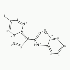 Cc1cnc2c(C(=O)Nc3ccccc3Cl)cnn2c1